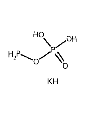 O=P(O)(O)OP.[KH]